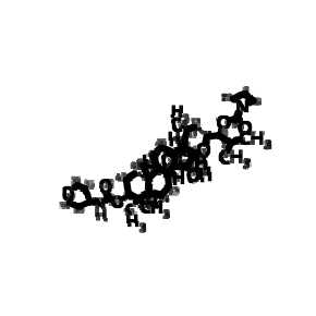 CC(C)[C@@H](OC(=O)N1CCC1)[C@H]1C[C@@H](C)[C@H]2[C@H](O1)[C@H](O)[C@@]1(C)[C@@H]3CC[C@H]4C(C)(C)[C@@H](OC(=O)NC5CCOCC5)CC[C@@]45C[C@@]35CC[C@]21C